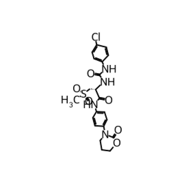 CS(=O)(=O)C[C@H](NC(=O)Nc1ccc(Cl)cc1)C(=O)Nc1ccc(N2CCCOC2=O)cc1